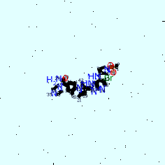 CCS(=O)(=O)N1CC[C@H](Nc2c(Br)cnc3nc(-c4cc(C)n(-c5ccc(C(C(N)=O)N6CCN(C)CC6)cc5C)c4C)[nH]c23)C1